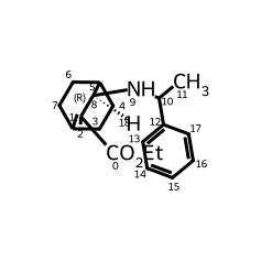 CCOC(=O)C1=C2CCC(CC2)[C@H]1NC(C)c1ccccc1